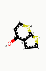 O=c1ccsc2sccc12